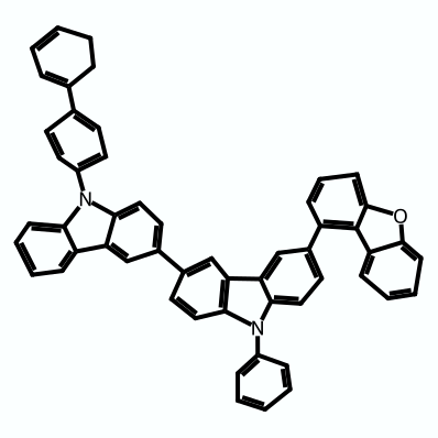 C1=CCCC(c2ccc(-n3c4ccccc4c4cc(-c5ccc6c(c5)c5cc(-c7cccc8oc9ccccc9c78)ccc5n6-c5ccccc5)ccc43)cc2)=C1